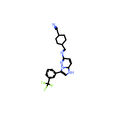 N#CC1CCC(/C=N/C2=NN3C(c4cccc(C(F)(F)F)c4)=CNC3C=C2)CC1